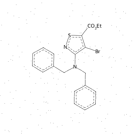 CCOC(=O)c1snc(N(Cc2ccccc2)Cc2ccccc2)c1Br